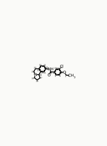 CCOc1ccc(C(=O)Nc2ccc3c(c2)C2CCCN2CC3)cc1Cl